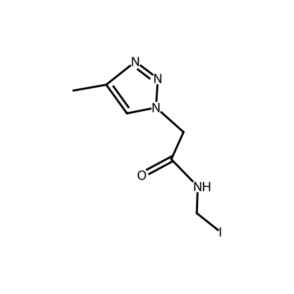 Cc1cn(CC(=O)NCI)nn1